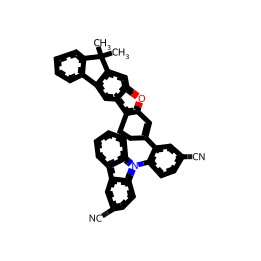 CC1(C)c2ccccc2-c2cc3c4c(oc3cc21)C=C(c1cc(C#N)ccc1-n1c2ccccc2c2cc(C#N)ccc21)CC4